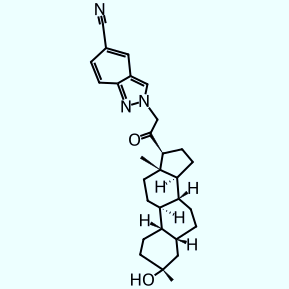 C[C@@]1(O)CC[C@H]2[C@H](CC[C@@H]3[C@@H]2CC[C@]2(C)[C@@H](C(=O)Cn4cc5cc(C#N)ccc5n4)CC[C@@H]32)C1